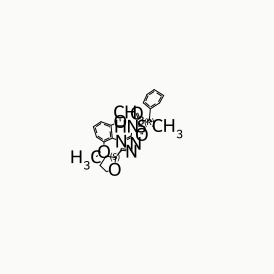 COc1cccc(OC)c1-n1c(NS(=O)(=O)[C@H](C)c2ccccc2)nnc1[C@@H]1CCCO1